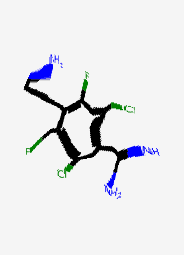 N=C(N)c1c(Cl)c(F)c(CN)c(F)c1Cl